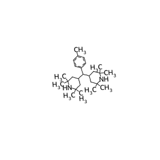 Cc1ccc(C(C2CC(C)(C)NC(C)(C)C2)C2CC(C)(C)NC(C)(C)C2)cc1